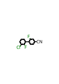 N#Cc1ccc(-c2cccc(Cl)c2F)c(F)c1